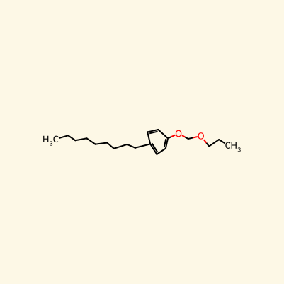 CCCCCCCCCc1ccc(OCOCCC)cc1